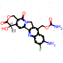 CC[C@@]1(O)C(=O)OCc2c1cc1n(c2=O)Cc2c-1nc1cc(F)c(N)cc1c2COC(N)=O